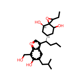 CCCC(c1coc2c(CO)c(O)c(CC(C)C)cc12)[C@H]1CC(O)C2(OC2CC)[C@H](O)C1